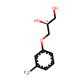 OC[C@H](O)COc1cccc(C(F)(F)F)c1